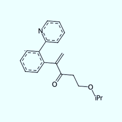 C=C(C(=O)CCOC(C)C)c1ccc[c]c1-c1ccccn1